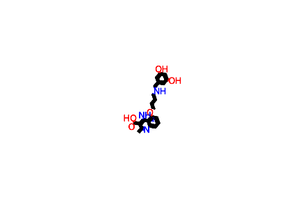 Cc1nc2cccc(OCCCCNCc3cc(O)cc(O)c3)c2c(N)c1C(=O)O